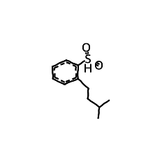 CC(C)CCc1ccccc1[SH](=O)=O